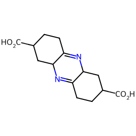 O=C(O)C1CCC2=NC3CC(C(=O)O)CCC3=NC2C1